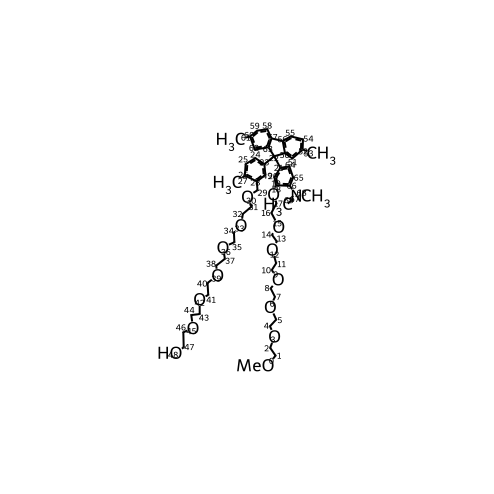 COCCOCCOCCOCCOCCOCCOc1cc(C2(c3ccc(C)c(COCCOCCOCCOCCOCCOCCO)c3)c3cc(C)ccc3-c3ccc(C)cc32)ccc1N(C)C